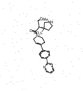 COCC(C(=O)N1CC=C(c2ccc(-c3ncccn3)cc2)CC1)C1(C(=O)O)CCNC1